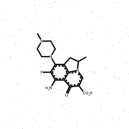 CC1Cc2c(N3CCN(C)CC3)c(F)c(N)c3c(=O)c(C(=O)O)cn1c23